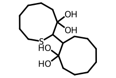 OC1(O)CCCCCCCC1C1SCCCCCCC1(O)O